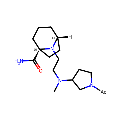 CC(=O)N1CCC(N(C)CCN2[C@@H]3C[CH]C[C@@]2(C(N)=O)CC3)C1